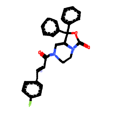 O=C(/C=C/c1ccc(F)cc1)N1CCN2C(=O)OC(c3ccccc3)(c3ccccc3)C2C1